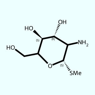 CS[C@@H]1OC(CO)[C@@H](O)[C@H](O)C1N